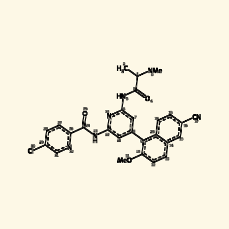 CNC(C)C(=O)Nc1cc(-c2c(OC)ccc3cc(C#N)ccc23)cc(NC(=O)c2ccc(Cl)cn2)n1